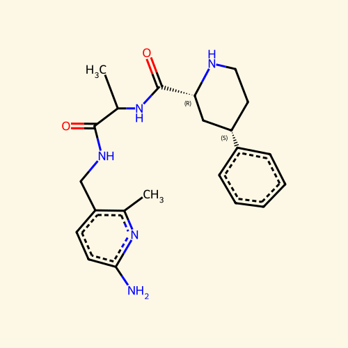 Cc1nc(N)ccc1CNC(=O)C(C)NC(=O)[C@H]1C[C@@H](c2ccccc2)CCN1